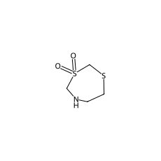 O=S1(=O)CNCCSC1